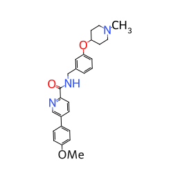 COc1ccc(-c2ccc(C(=O)NCc3cccc(OC4CCN(C)CC4)c3)nc2)cc1